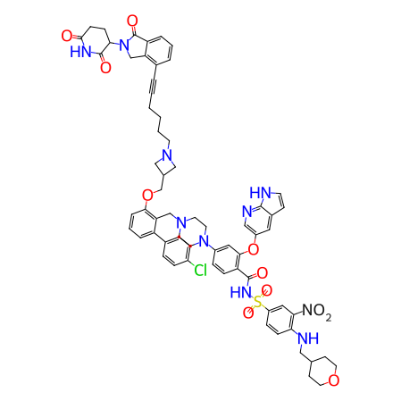 O=C1CCC(N2Cc3c(C#CCCCCN4CC(COc5cccc(-c6ccc(Cl)cc6)c5CN5CCN(c6ccc(C(=O)NS(=O)(=O)c7ccc(NCC8CCOCC8)c([N+](=O)[O-])c7)c(Oc7cnc8[nH]ccc8c7)c6)CC5)C4)cccc3C2=O)C(=O)N1